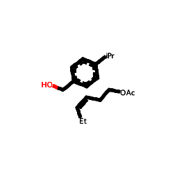 CC(C)c1ccc(CO)cc1.CC/C=C\CCOC(C)=O